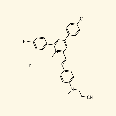 CN(CCC#N)c1ccc(/C=C/c2cc(-c3ccc(Cl)cc3)cc(-c3ccc(Br)cc3)[n+]2C)cc1.[I-]